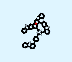 c1ccc(-c2nc(-c3ccc(-c4cccc5c4oc4ccccc45)cc3)nc(-c3cccc4oc5ccc(-c6cc(-c7ccc8c(c7)sc7ccccc78)cc7sc8ccccc8c67)cc5c34)n2)cc1